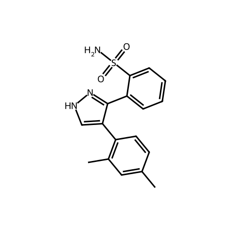 Cc1ccc(-c2c[nH]nc2-c2ccccc2S(N)(=O)=O)c(C)c1